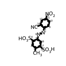 Cc1cc(S(=O)(=O)O)c(N=Nc2ccc([N+](=O)[O-])cc2C#N)cc1S(=O)(=O)O